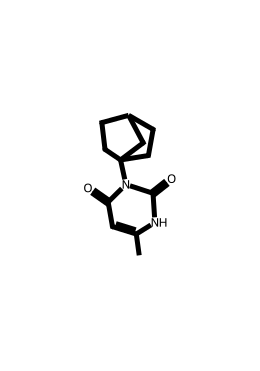 Cc1cc(=O)n(C23CCC(CC2)C3)c(=O)[nH]1